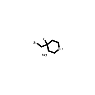 CC(C)(C)CC1(F)CCNCC1.Cl